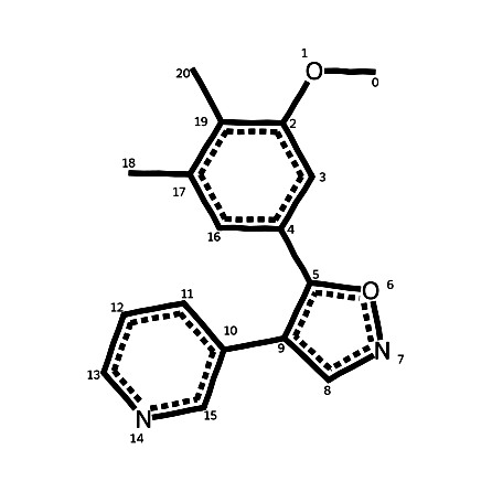 COc1cc(-c2oncc2-c2cccnc2)cc(C)c1C